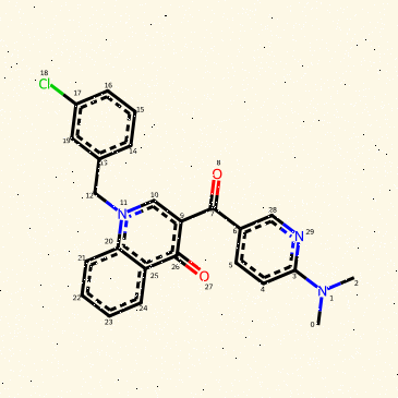 CN(C)c1ccc(C(=O)c2cn(Cc3cccc(Cl)c3)c3ccccc3c2=O)cn1